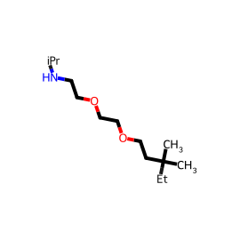 CCC(C)(C)CCOCCOCCNC(C)C